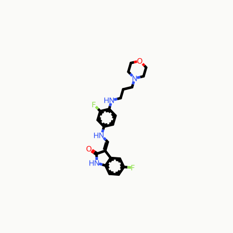 O=C1Nc2ccc(F)cc2C1=CNc1ccc(NCCCN2CCOCC2)c(F)c1